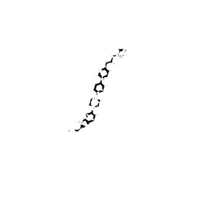 CC(C)Cc1nc2ccc(N3CCN(c4ccc(-c5ccc(CC(O)Cn6cnnn6)nc5)cc4)CC3)cc2[nH]1